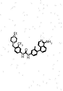 CCN1CCN(Cc2ccc(NC(=O)Nc3ccc(-c4cccc5c(N)nccc45)c(C)c3)cc2C(F)(F)F)CC1